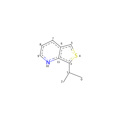 CC(C)c1scc2cccnc12